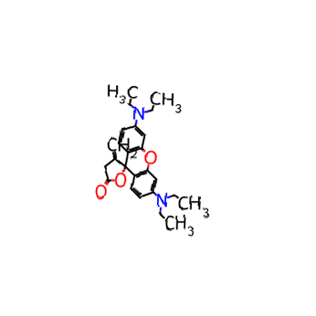 C=C1CC(=O)OC12c1ccc(N(CC)CC)cc1Oc1cc(N(CC)CC)ccc12